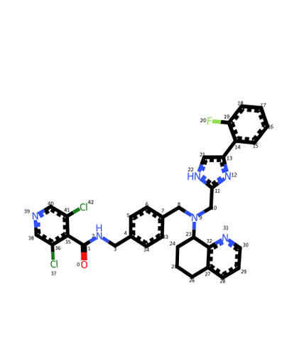 O=C(NCc1ccc(CN(Cc2nc(-c3ccccc3F)c[nH]2)C2CCCc3cccnc32)cc1)c1c(Cl)cncc1Cl